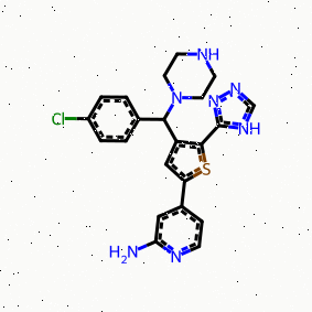 Nc1cc(-c2cc(C(c3ccc(Cl)cc3)N3CCNCC3)c(-c3nnc[nH]3)s2)ccn1